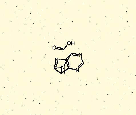 O=CO.c1nc2c3nc([nH]c3n1)C2